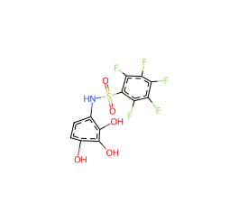 O=S(=O)(Nc1ccc(O)c(O)c1O)c1c(F)c(F)c(F)c(F)c1F